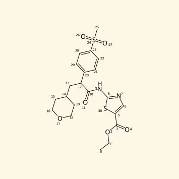 CCOC(=O)c1cnc(NC(=O)C(CC2CCOCC2)c2ccc(S(C)(=O)=O)cc2)s1